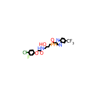 O=C(COc1ccc(Cl)c(F)c1)NC[C@@H](O)CCPC(=O)c1cnc2cc(C(F)(F)F)ccc2n1